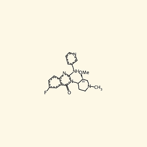 CO[C@H]1CN(C)CCC1n1c(Nc2cccnc2)nc2ccc(F)cc2c1=O